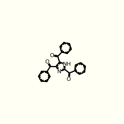 O=C(c1ccccc1)c1nc(C(=O)c2ccccc2)c(C(=O)c2ccccc2)[nH]1